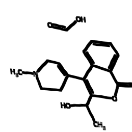 CC(O)c1oc(=O)c2ccccc2c1C1=CCN(C)CC1.O=CO